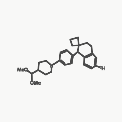 [2H]c1ccc2c(c1)CCC1(CCC1)C2c1ccc(N2CCC(C(OC)OC)CC2)cc1